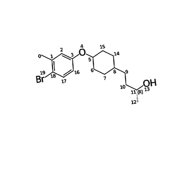 Cc1cc(OC2CCC(CC[C@@H](C)O)CC2)ccc1Br